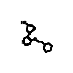 OC1=CC=CN(c2cnccc2OCCN2CCCCC2)C1